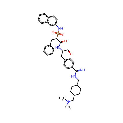 CN(C)C[C@H]1CC[C@@H](CNC(=N)c2ccc(CC([C]=O)NC(=O)C(Cc3ccccc3)S(=O)(=O)Nc3ccc4ccccc4c3)cc2)CC1